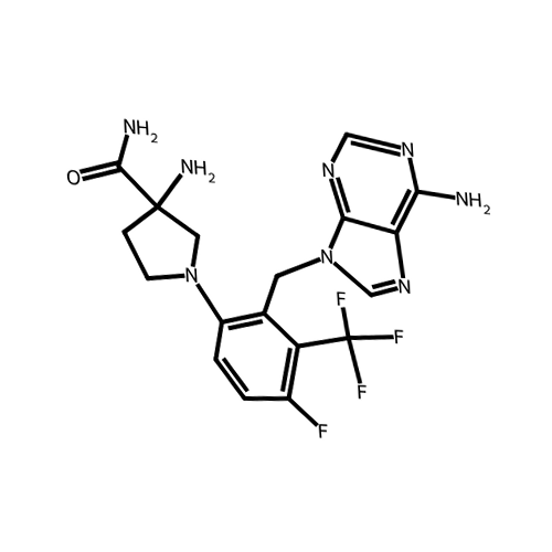 NC(=O)C1(N)CCN(c2ccc(F)c(C(F)(F)F)c2Cn2cnc3c(N)ncnc32)C1